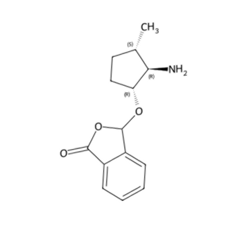 C[C@H]1CC[C@@H](OC2OC(=O)c3ccccc32)[C@@H]1N